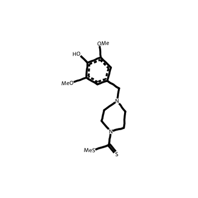 COc1cc(CN2CCN(C(=S)SC)CC2)cc(OC)c1O